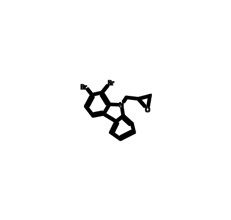 Brc1ccc2c3ccccc3n(CC3CO3)c2c1Br